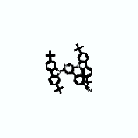 CC(C)(C)c1ccc2c3ccc(C(C)(C)C)cc3n(-c3cc(-c4ccc(C#N)cc4)c(-n4c5cc(C(C)(C)C)ccc5c5ccc(C(C)(C)C)cc54)cn3)c2c1